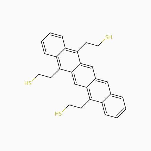 SCCc1c2ccccc2cc2cc3c(CCS)c4ccccc4c(CCS)c3cc12